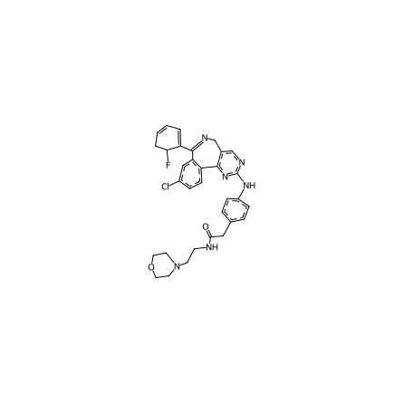 O=C(Cc1ccc(Nc2ncc3c(n2)-c2ccc(Cl)cc2C(C2=CC=CCC2F)=NC3)cc1)NCCN1CCOCC1